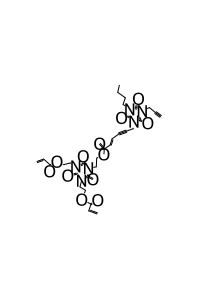 C#CCn1c(=O)n(CC#C/C=C/C(=O)OCCn2c(=O)n(CCOC(=O)C=C)c(=O)n(CCOC(=O)C=C)c2=O)c(=O)n(CCCC)c1=O